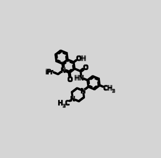 Cc1ccc(NC(=O)c2c(O)c3ccccc3n(CC(C)C)c2=O)c(N2CCN(C)CC2)c1